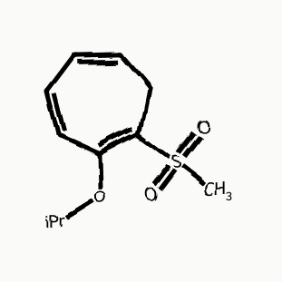 CC(C)OC1=C(S(C)(=O)=O)CC=CC=C1